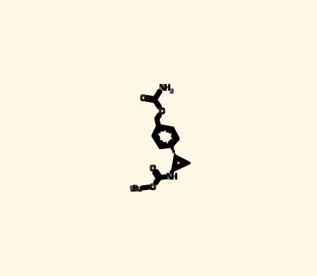 CC(C)(C)OC(=O)N[C@@H]1C[C@H]1c1ccc(COC(N)=O)cc1